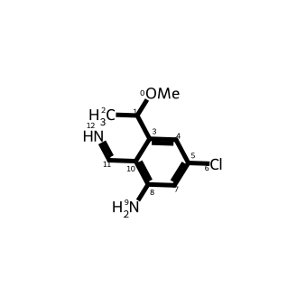 COC(C)c1cc(Cl)cc(N)c1C=N